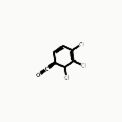 O=C=C1C=CC(Cl)=C(Cl)C1Cl